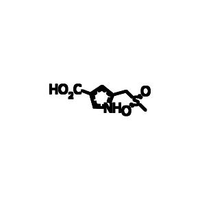 CS(=O)(=O)Cc1cc(C(=O)O)c[nH]1